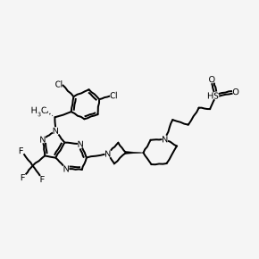 C[C@H](c1ccc(Cl)cc1Cl)n1nc(C(F)(F)F)c2ncc(N3CC([C@@H]4CCCN(CCCC[SH](=O)=O)C4)C3)nc21